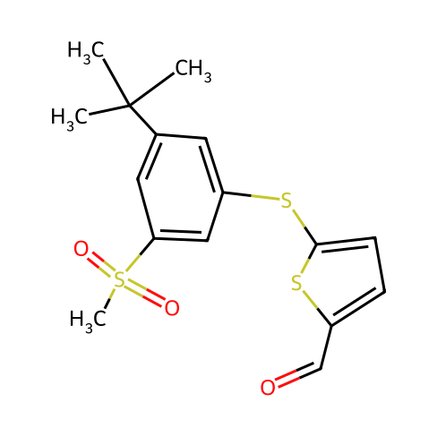 CC(C)(C)c1cc(Sc2ccc(C=O)s2)cc(S(C)(=O)=O)c1